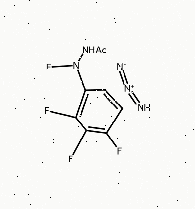 CC(=O)NN(F)c1ccc(F)c(F)c1F.[N-]=[N+]=N